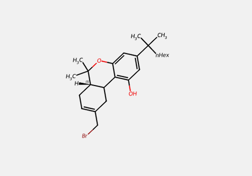 CCCCCCC(C)(C)c1cc(O)c2c(c1)OC(C)(C)[C@H]1CC=C(CBr)CC21